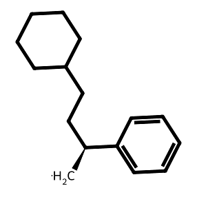 [CH2][C@@H](CCC1CCCCC1)c1ccccc1